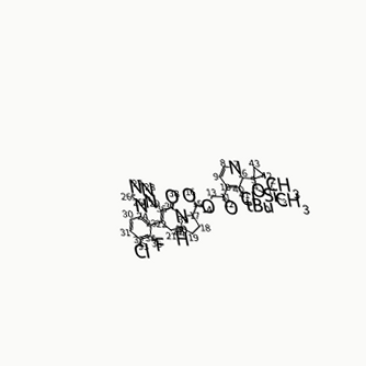 CC(C)(C)[Si](C)(C)OC1(c2nccc(C(=O)COC(=O)C3CC[C@@H]4CC(c5c(-n6cnnn6)ccc(Cl)c5F)=CC(=O)N34)c2Cl)CC1